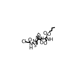 CCCCOC(=O)[C@H]1NC(=O)[C@H]1NC(=O)C(=NOC)c1csc(NC(=O)CCl)n1